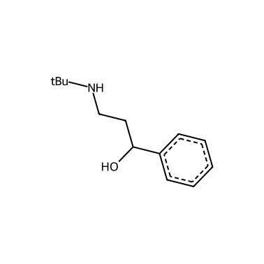 CC(C)(C)NCCC(O)c1ccccc1